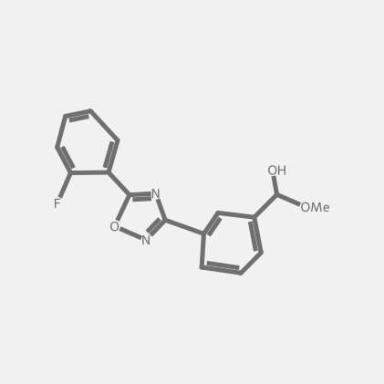 COC(O)c1cccc(-c2noc(-c3ccccc3F)n2)c1